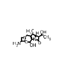 C[C@@H](O)C1C(=O)N2C(C(=O)O)=C(CN3CC(N)C3)[C@H](C)[C@H]12